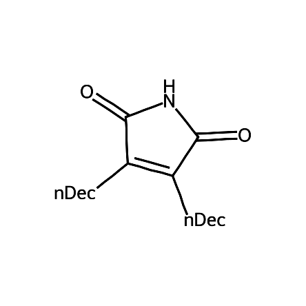 CCCCCCCCCCC1=C(CCCCCCCCCC)C(=O)NC1=O